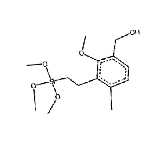 COc1c(CO)ccc(C)c1CC[Si](OC)(OC)OC